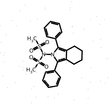 CS(=O)(=O)N(n1c(-c2ccccc2)c2c(c1-c1ccccc1)CCCC2)S(C)(=O)=O